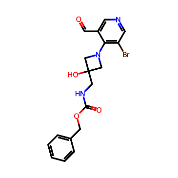 O=Cc1cncc(Br)c1N1CC(O)(CNC(=O)OCc2ccccc2)C1